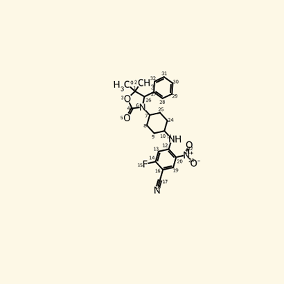 CC1(C)OC(=O)N(C2CCC(Nc3cc(F)c(C#N)cc3[N+](=O)[O-])CC2)C1c1ccccc1